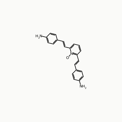 Nc1ccc(C=Cc2cccc(C=Cc3ccc(N)cc3)[n+]2[O-])cc1